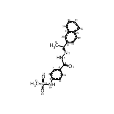 C/C(=N\NC(=O)c1ccc(NS(C)(=O)=O)cc1)c1ccc2ccccc2c1